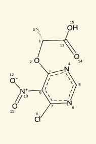 C[C@@H](Oc1ncnc(Cl)c1[N+](=O)[O-])C(=O)O